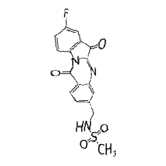 CS(=O)(=O)NCc1ccc2c(=O)n3c(nc2c1)C(=O)c1cc(F)ccc1-3